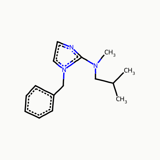 CC(C)CN(C)c1nccn1Cc1ccccc1